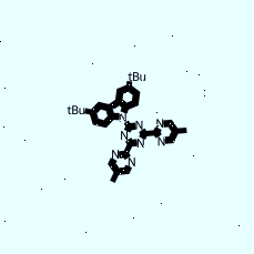 Cc1cnc(-c2nc(-c3ncc(C)cn3)nc(-n3c4ccc(C(C)(C)C)cc4c4cc(C(C)(C)C)ccc43)n2)nc1